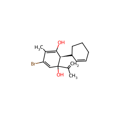 C=C(C)C1(O)C=C(Br)C(C)=C(O)[C@H]1C1C=CCCC1